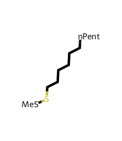 CCCCCCCCCCCSSC